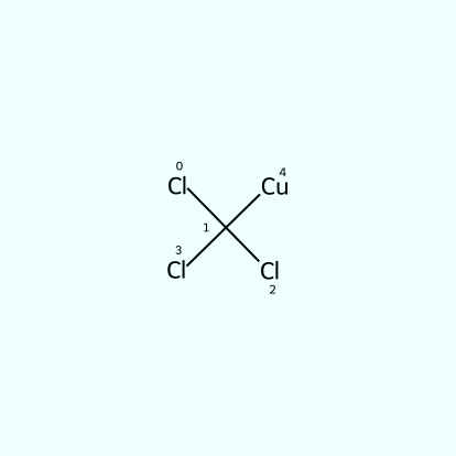 Cl[C](Cl)(Cl)[Cu]